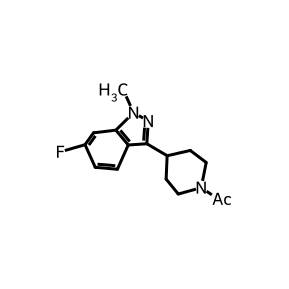 CC(=O)N1CCC(c2nn(C)c3cc(F)ccc23)CC1